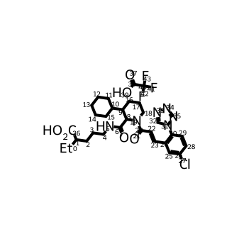 CCC(CCCNC(=O)C1C(C2CCCCC2)CCCN1C(=O)C=Cc1cc(Cl)ccc1-n1cnnn1)C(=O)O.O=C(O)C(F)(F)F